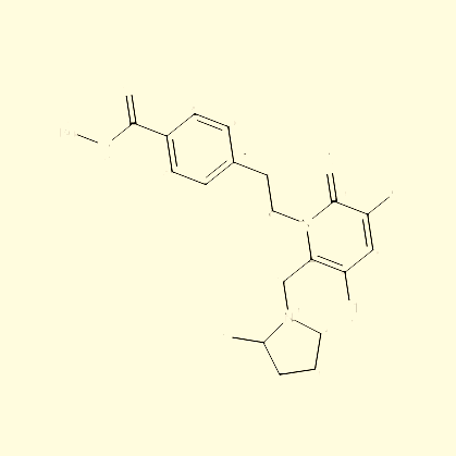 CC(C)C1CCCN1Cc1c(Cl)cc(Cl)c(=O)n1CCc1ccc(C(=O)OC(C)(C)C)cc1